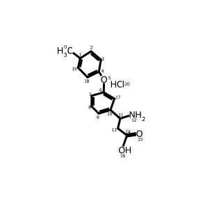 Cc1ccc(Oc2cccc(C(N)CC(=O)O)c2)cc1.Cl